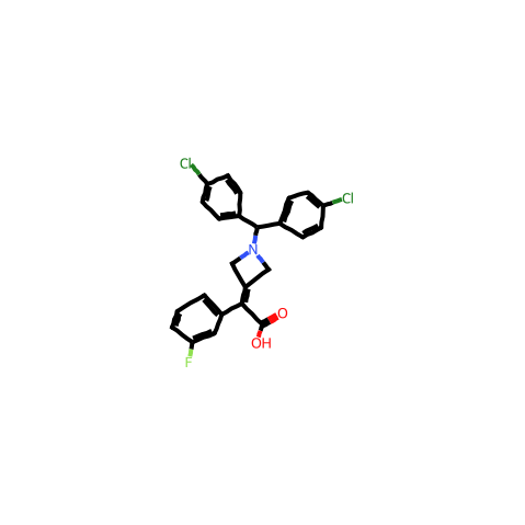 O=C(O)C(=C1CN(C(c2ccc(Cl)cc2)c2ccc(Cl)cc2)C1)c1cccc(F)c1